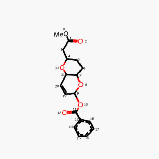 COC(=O)CC1CCC2OC(OC(=O)c3ccccc3)C=CC2O1